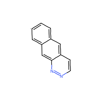 [c]1ccc2cc3ccnnc3cc2c1